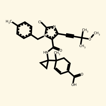 COC(C)(C)C#Cc1nc(Cl)n(Cc2ccc(C)cc2)c1C(=O)NC1(C2(C)C=CC(C(=O)O)=CC2)CC1